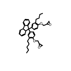 CCCCCc1cc(C2(c3ccc(OCC4CO4)c(CCCC)c3)c3ccccc3C3C=CC=CC32)ccc1OCC1CO1